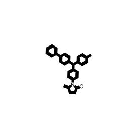 C=C1CCC(=O)N1c1ccc(C(c2ccc(C)cc2)c2ccc(-c3ccccc3)cc2)cc1